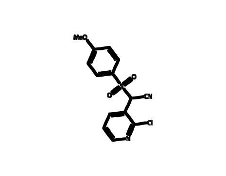 COc1ccc(S(=O)(=O)C(C#N)c2cccnc2Cl)cc1